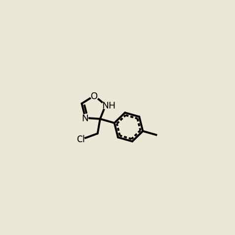 Cc1ccc(C2(CCl)N=CON2)cc1